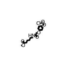 COC(=O)CCCCCNC(=O)COc1ccc(S(=O)(=O)Cl)cc1